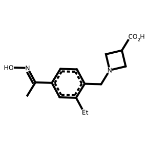 CCc1cc(/C(C)=N/O)ccc1CN1CC(C(=O)O)C1